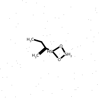 C=C(CC)[SiH]1O[SiH2]O1